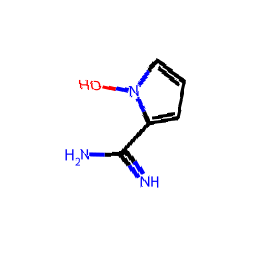 N=C(N)c1cccn1O